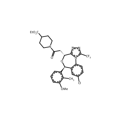 CCOC(=O)C1CCN(C(=O)C[C@H]2O[C@H](c3cccc(OC)c3C)c3cc(Cl)ccc3-n3c2nnc3C(F)(F)F)CC1